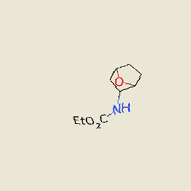 CCOC(=O)NC1CC2CCC1O2